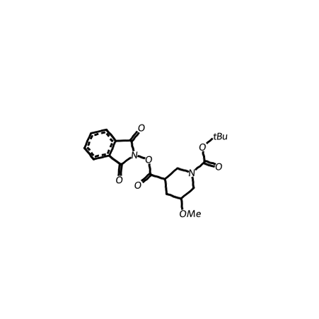 COC1CC(C(=O)ON2C(=O)c3ccccc3C2=O)CN(C(=O)OC(C)(C)C)C1